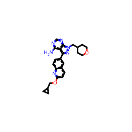 Nc1ncnc2c1c(-c1ccc3nc(OCC4CC4)ccc3c1)nn2CC1CCOCC1